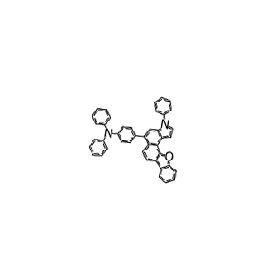 c1ccc(N(c2ccccc2)c2ccc(-c3cc4c(ccn4-c4ccccc4)c4c3ccc3c5ccccc5oc34)cc2)cc1